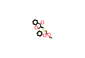 CCOC(=O)CSC=C1C(=O)c2ccccc2O[C@H]1c1ccccc1